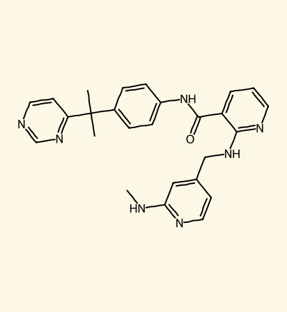 CNc1cc(CNc2ncccc2C(=O)Nc2ccc(C(C)(C)c3ccncn3)cc2)ccn1